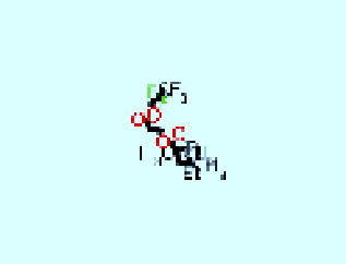 CCC(C)(C)CC(C)(C(=O)OCCC(=O)OCC(F)(F)C(F)(F)F)C(C)C